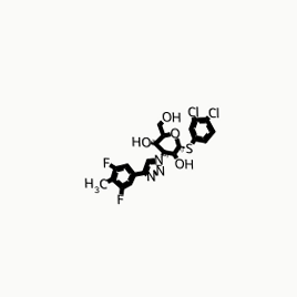 Cc1c(F)cc(-c2cn([C@@H]3C(O)[C@@H](Sc4ccc(Cl)c(Cl)c4)OC(CO)[C@@H]3O)nn2)cc1F